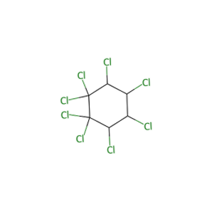 ClC1C(Cl)C(Cl)C(Cl)(Cl)C(Cl)(Cl)C1Cl